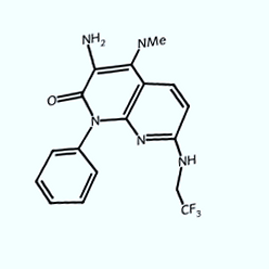 CNc1c(N)c(=O)n(-c2ccccc2)c2nc(NCC(F)(F)F)ccc12